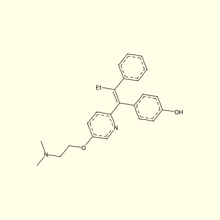 CCC(=C(c1ccc(O)cc1)c1ccc(OCCN(C)C)cn1)c1ccccc1